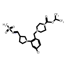 CS(=O)(=O)/N=C/C1CCN(c2cc(Cl)ccc2CN2CCN(C(=O)OC(C(F)(F)F)C(F)(F)F)CC2)C1